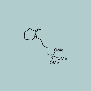 CO[Si](CCCCN1CCCCC1=O)(OC)OC